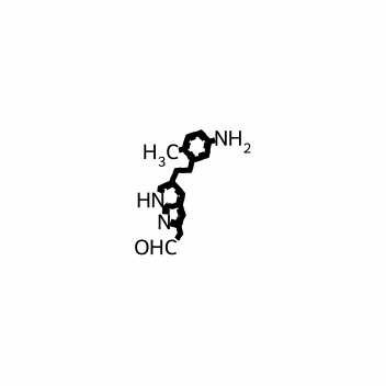 Cc1ccc(N)cc1CCc1c[nH]c2nc(CC=O)cc-2c1